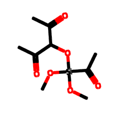 CO[Si](OC)(OC(C(C)=O)C(C)=O)C(C)=O